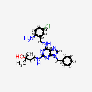 CC(C)(O)CCNc1nc(NCc2cc(Cl)ccc2N)c2ncn(Cc3ccccc3)c2n1